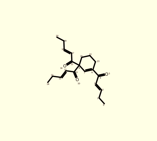 CCC=CC(=O)C1=CC(C(=O)C=CCC)(C(=O)C=CCC)CCC1